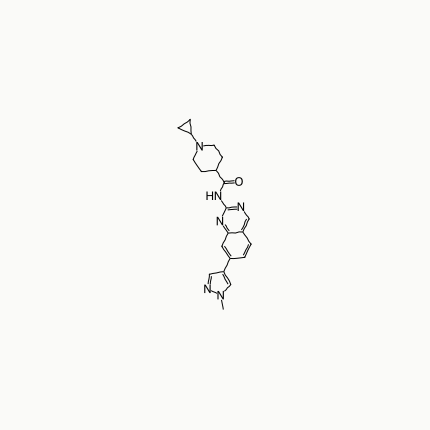 Cn1cc(-c2ccc3cnc(NC(=O)C4CCN(C5CC5)CC4)nc3c2)cn1